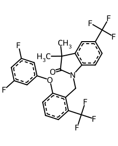 CC1(C)C(=O)N(Cc2c(Oc3cc(F)cc(F)c3)cccc2C(F)(F)F)c2ccc(C(F)(F)F)cc21